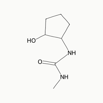 CNC(=O)NC1CCCC1O